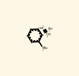 C#C.CC(C)(C)c1ccccc1.[Au]